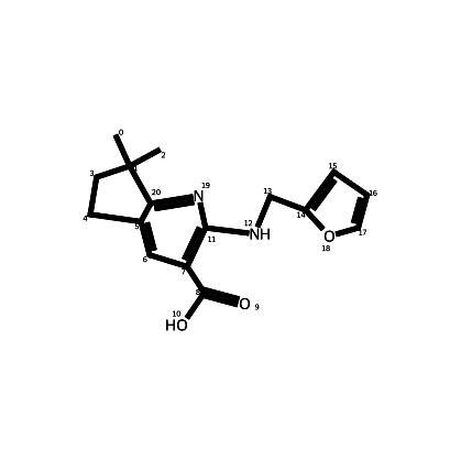 CC1(C)CCc2cc(C(=O)O)c(NCc3ccco3)nc21